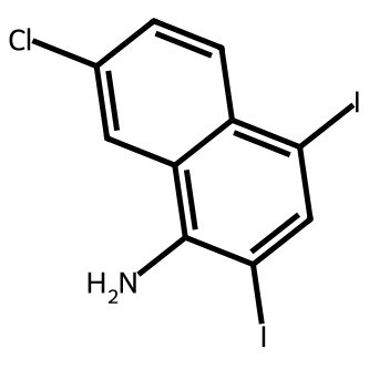 Nc1c(I)cc(I)c2ccc(Cl)cc12